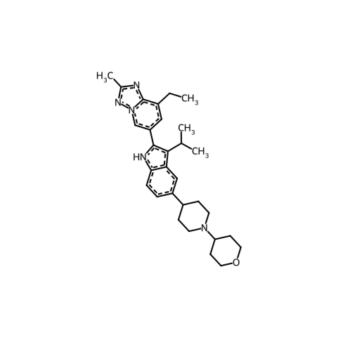 CCc1cc(-c2[nH]c3ccc(C4CCN(C5CCOCC5)CC4)cc3c2C(C)C)cn2nc(C)nc12